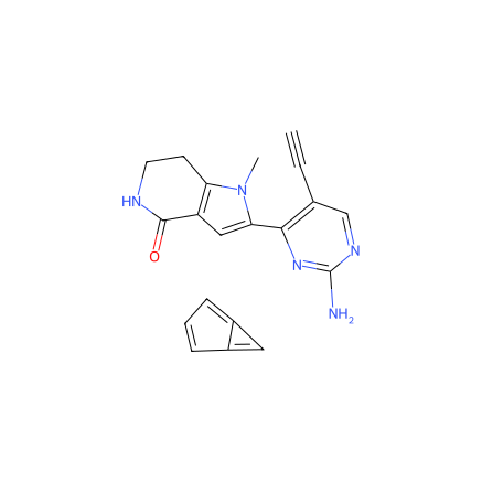 C#Cc1cnc(N)nc1-c1cc2c(n1C)CCNC2=O.c1cc2cc-2c1